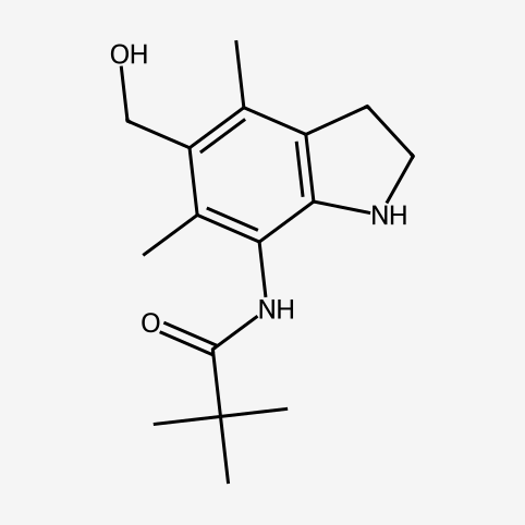 Cc1c(CO)c(C)c(NC(=O)C(C)(C)C)c2c1CCN2